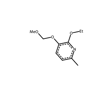 CCOc1nc(C)ccc1OCOC